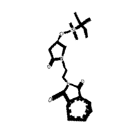 CC(C)(C)[Si](C)(C)O[C@@H]1CC(=O)N(CCN2C(=O)c3ccccc3C2=O)C1